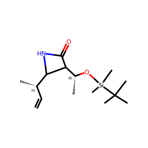 C=C[C@H](C)C1NC(=O)C1[C@@H](C)O[Si](C)(C)C(C)(C)C